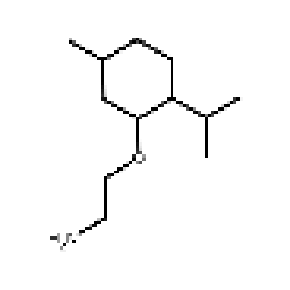 CC1CCC(C(C)C)C(OCCN)C1